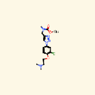 CN(C)CCOc1ccc(-n2cc(CN(C)C(=O)OC(C)(C)C)nn2)cc1Cl